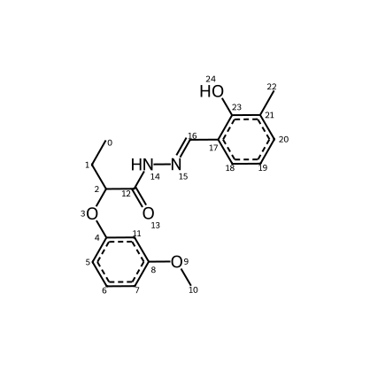 CCC(Oc1cccc(OC)c1)C(=O)NN=Cc1cccc(C)c1O